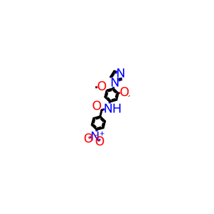 COc1cc(NC(=O)c2ccc([N+](=O)[O-])cc2)cc(OC)c1-n1ccnc1